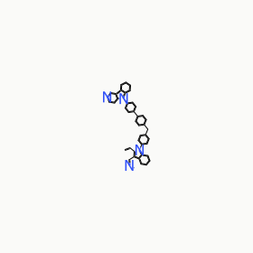 C=Cc1c(/C=N\C)c2ccccc2n1-c1ccc(Cc2ccc(-c3ccc(-n4c5ccccc5c5cnccc54)cc3)cc2)cc1